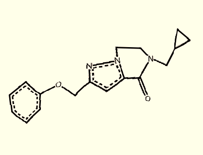 O=C1c2cc(COc3ccccc3)nn2CCN1CC1CC1